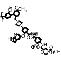 COC(=O)N1CCOC(CNc2ccc(S(=O)(=O)NC(=O)c3ccc(N4CCN(CC5=C(c6ccc(C(F)(F)F)cc6Cl)CC(C)(C)CC5)CC4)cc3Oc3cnc4[nH]ccc4c3)cc2[N+](=O)[O-])C1